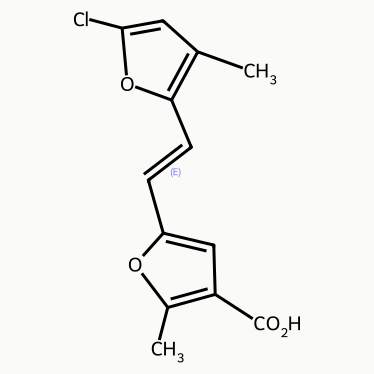 Cc1cc(Cl)oc1/C=C/c1cc(C(=O)O)c(C)o1